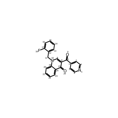 O=C(c1ccncc1)c1cn(Cc2ccccc2F)c2ccccc2c1=O